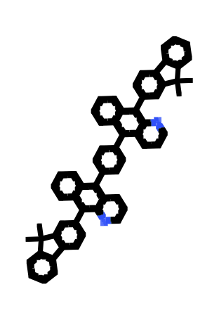 CC1(C)c2ccccc2-c2ccc(-c3c4ccccc4c(-c4ccc(-c5c6ccccc6c(-c6ccc7c(c6)C(C)(C)c6ccccc6-7)c6ncccc56)cc4)c4cccnc34)cc21